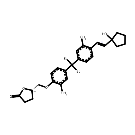 CCC(CC)(c1ccc(/C=C/C2(O)CCCC2)c(C)c1)c1ccc(OC[C@@H]2CCC(=O)O2)c(C)c1